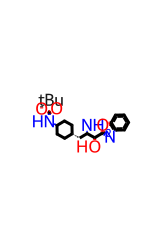 CC(C)(C)OC(=O)N[C@H]1CC[C@H](C[C@H](N)C(O)c2nc3ccccc3o2)CC1